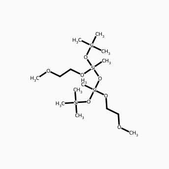 COCCO[Si](C)(O[Si](C)(C)C)O[Si](C)(OCCOC)O[Si](C)(C)C